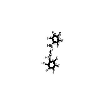 Fc1c(F)c(F)c(BO[CH]OBc2c(F)c(F)c(F)c(F)c2F)c(F)c1F